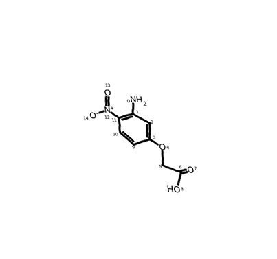 Nc1cc(OCC(=O)O)ccc1[N+](=O)[O-]